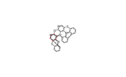 c1cc2c3c(c1)c1ccc[n+]4c1n3-c1c(cnc3c1[N+]41c4c(ncc5c4-n4c6c(cccc6c6ccc[n+]1c64)S5)O3)S2